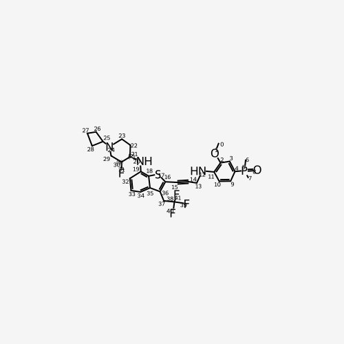 COc1cc(P(C)(C)=O)ccc1NCC#Cc1sc2c(N[C@@H]3CCN(C4CCC4)C[C@@H]3F)cccc2c1CC(F)(F)F